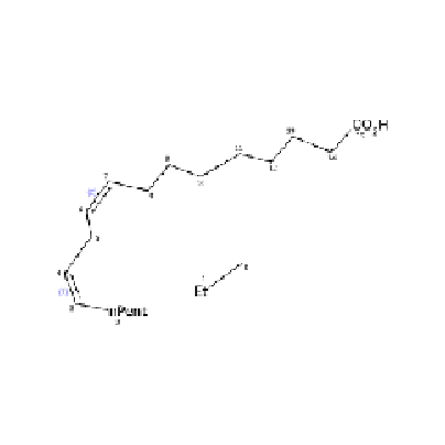 CCC.CCCCC/C=C\C/C=C\CCCCCCCC(=O)O